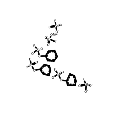 C[O][Sb](=[O])([O-])[F].[O]=[Sb]([O-])([F])[O]c1ccccc1.[O]=[Sb]([O-])([F])[O]c1ccccc1.[O]=[Sb]([O-])([F])[O]c1ccccc1.[O]=[Sb]([O-])([O-])[F].[O]=[Sb]([O-])([O-])[F]